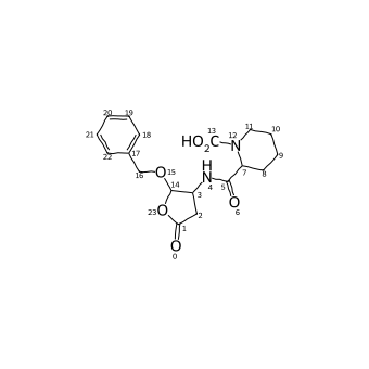 O=C1CC(NC(=O)C2CCCCN2C(=O)O)C(OCc2ccccc2)O1